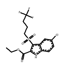 CCOC(=O)c1[nH]c2ccc(Cl)cc2c1S(=O)(=O)CCCC(F)(F)F